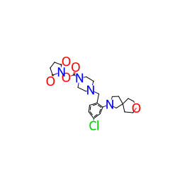 O=C(ON1C(=O)CCC1=O)N1CCN(Cc2ccc(Cl)cc2N2CCC3(CCOCC3)C2)CC1